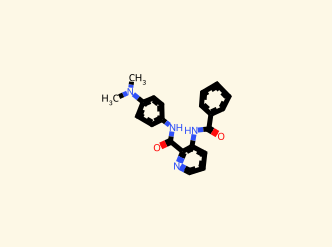 CN(C)c1ccc(NC(=O)c2ncccc2NC(=O)c2ccccc2)cc1